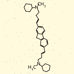 CN(CCC=Cc1ccc2c(c1)Cc1cc(C=CCCN(C)C3CCCCC3)ccc1-2)C1CCCCC1